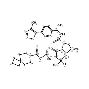 Cc1ncsc1-c1ccc([C@H](C)NC(=O)[C@@H]2C[C@@H](O)CN2C(=O)[C@@H](NC(=O)OC(=O)N2CCC3(CCC3)CC2)C(C)(C)C)cc1